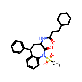 CS(=O)(=O)N1C(=O)C(NC(=O)CCC2CCCCC2)CC(c2ccccc2)c2ccccc21